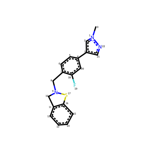 Cn1cc(-c2ccc(CN3Cc4ccccc4S3)c(F)c2)cn1